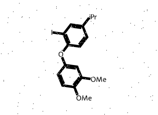 COc1ccc(Oc2ccc(C(C)C)cc2I)cc1OC